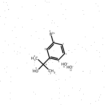 [B+2]c1cccc(C(C)(C)O)c1.[OH-].[OH-]